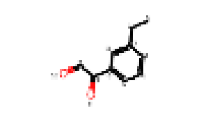 CCc1cccc(C(=O)[C]=O)c1